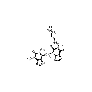 Cn1c(=O)c2[nH]cnc2n(C)c1=O.Cn1c(=O)c2[nH]cnc2n(C)c1=O.NCCN.O.O